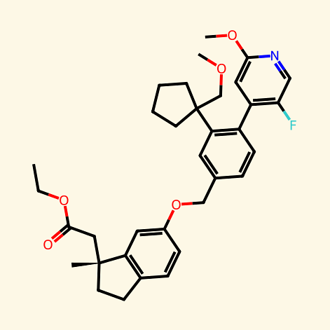 CCOC(=O)C[C@@]1(C)CCc2ccc(OCc3ccc(-c4cc(OC)ncc4F)c(C4(COC)CCCC4)c3)cc21